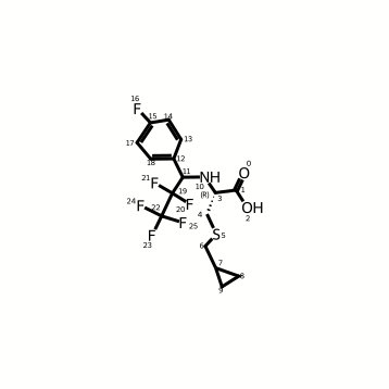 O=C(O)[C@H](CSCC1CC1)NC(c1ccc(F)cc1)C(F)(F)C(F)(F)F